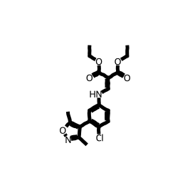 CCOC(=O)C(=CNc1ccc(Cl)c(-c2c(C)noc2C)c1)C(=O)OCC